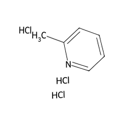 Cc1ccccn1.Cl.Cl.Cl